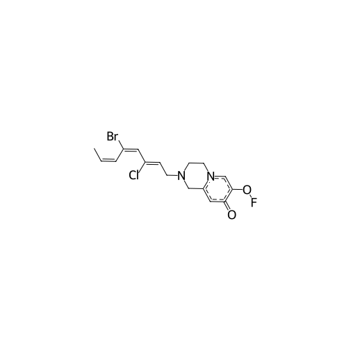 C\C=C/C(Br)=C\C(Cl)=C\CN1CCn2cc(OF)c(=O)cc2C1